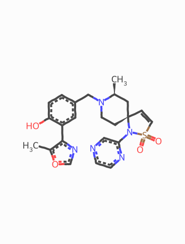 Cc1ocnc1-c1cc(CN2CC[C@]3(C=CS(=O)(=O)N3c3cnccn3)C[C@@H]2C)ccc1O